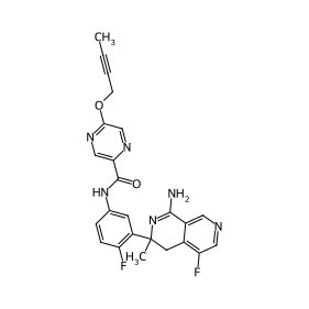 CC#CCOc1cnc(C(=O)Nc2ccc(F)c(C3(C)Cc4c(F)cncc4C(N)=N3)c2)cn1